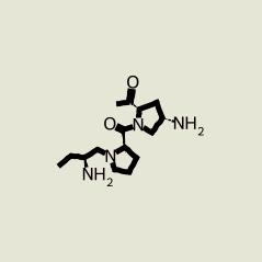 CC[C@H](N)CN1CCC[C@@H]1C(=O)N1C[C@@H](N)C[C@H]1C(C)=O